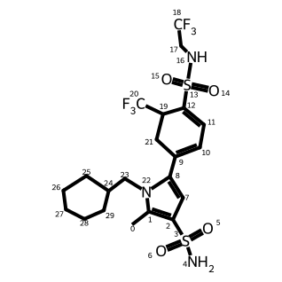 Cc1c(S(N)(=O)=O)cc(C2=CC=C(S(=O)(=O)NCC(F)(F)F)C(C(F)(F)F)C2)n1CC1CCCCC1